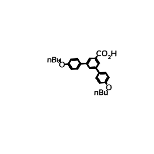 CCCCOc1ccc(-c2cc(C(=O)O)cc(-c3ccc(OCCCC)cc3)c2)cc1